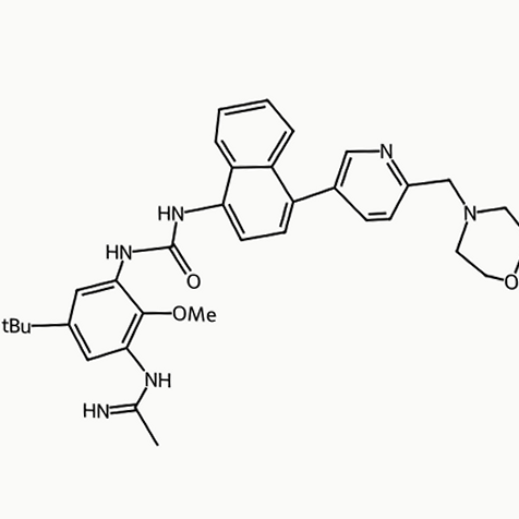 COc1c(NC(C)=N)cc(C(C)(C)C)cc1NC(=O)Nc1ccc(-c2ccc(CN3CCOCC3)nc2)c2ccccc12